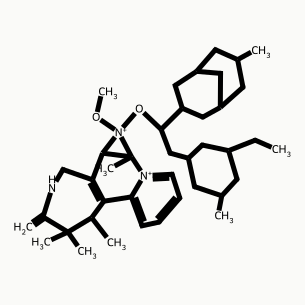 C=C1NCC2=C(c3cccc[n+]3C3(C)C2[N+]3(OC)OC(CC2CC(C)CC(CC)C2)C2CC3CC(C)CC(C3)C2)C(C)C1(C)C